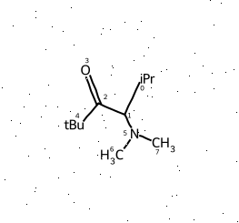 CC(C)C(C(=O)C(C)(C)C)N(C)C